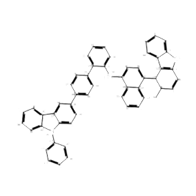 CC1C=Cc2sc3ccccc3c2C1c1ccc(Nc2ccccc2-c2ccc(-c3ccc4c(c3)c3ccccc3n4-c3ccccc3)cc2)c2ccccc12